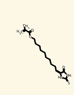 C=C(C)C(=O)OCCCCCCCCCC=C1NC(=S)NC1=O